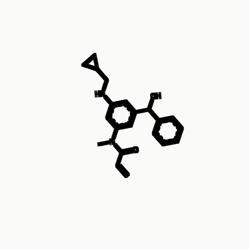 C=CC(=O)N(C)c1cc(NCC2CC2)cc(C(O)c2ccccc2)c1